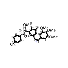 COc1cc(/C=C\c2cc(F)c(OC)c(NS(=O)(=O)c3ccc(Cl)cc3)c2)cc(OC)c1OC